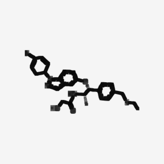 CCSCc1ccc([C@@H](Oc2ccc3c(cnn3C3C=CC(F)=CC3)c2)[C@H](C)NC(=O)CO)cc1